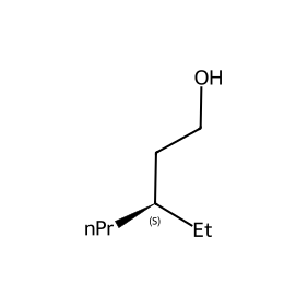 CCC[C@H](CC)CCO